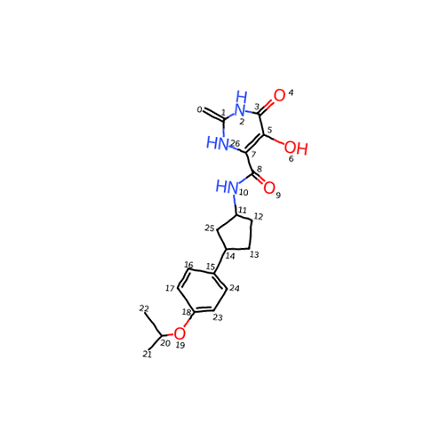 C=C1NC(=O)C(O)=C(C(=O)NC2CCC(c3ccc(OC(C)C)cc3)C2)N1